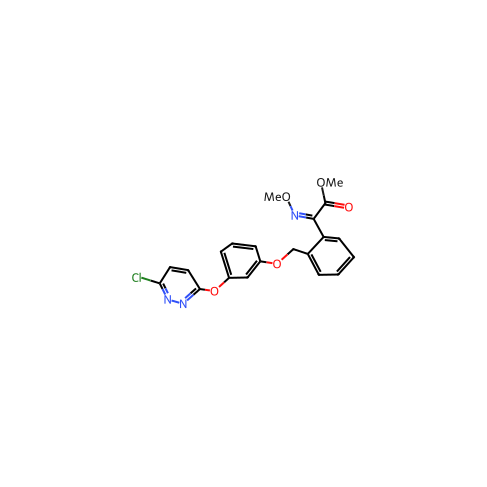 CON=C(C(=O)OC)c1ccccc1COc1cccc(Oc2ccc(Cl)nn2)c1